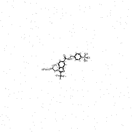 CCCCCC(CCC)Cn1c(C(C)(F)F)nc2cc(C(=O)NCc3ccc(S(S)(S)CC)cc3)ccc21